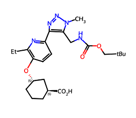 CCc1nc(-c2nnn(C)c2CNC(=O)OCC(C)(C)C)ccc1O[C@H]1CCC[C@H](C(=O)O)C1